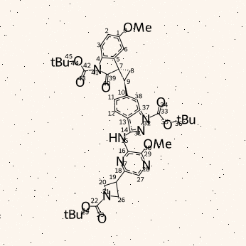 COc1ccc2c(c1)[C@]1(C[C@H]1c1ccc3c(Nc4nc(C5CN(C(=O)OC(C)(C)C)C5)cnc4OC)nn(C(=O)OC(C)(C)C)c3c1)C(=O)N2C(=O)OC(C)(C)C